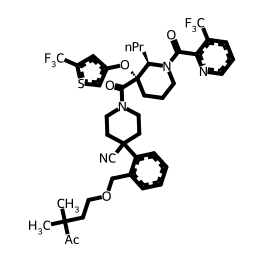 CCC[C@H]1N(C(=O)c2ncccc2C(F)(F)F)CCC[C@@]1(Oc1csc(C(F)(F)F)c1)C(=O)N1CCC(C#N)(c2ccccc2COCCC(C)(C)C(C)=O)CC1